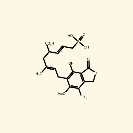 COc1c(C)c2c(c(O)c1C/C=C(\C)CC(/C=C/CP(=O)(O)O)C(=O)O)C(=O)OC2